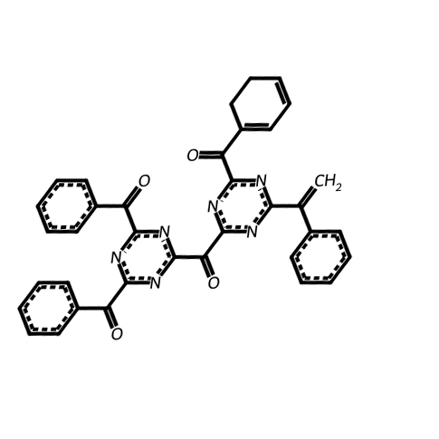 C=C(c1ccccc1)c1nc(C(=O)C2=CC=CCC2)nc(C(=O)c2nc(C(=O)c3ccccc3)nc(C(=O)c3ccccc3)n2)n1